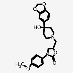 COc1ccc(N2CC(CN3CCC(O)(c4ccc5c(c4)OCO5)CC3)OC2=O)cc1